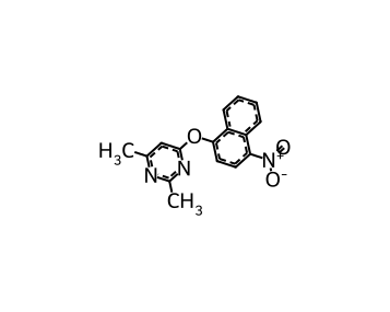 Cc1cc(Oc2ccc([N+](=O)[O-])c3ccccc23)nc(C)n1